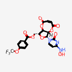 O=C1/C=C\C(=O)O[C@H]2C(O1)[C@@H](COC(=O)c1ccc(OC(F)(F)F)cc1)O[C@H]2n1ccc(NO)nc1=O